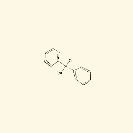 [Si]C(Cl)(c1ccccc1)c1ccccc1